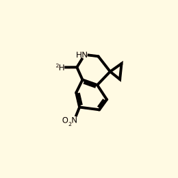 [2H]C1NCC2(CC2)c2ccc([N+](=O)[O-])cc21